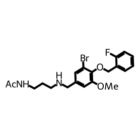 COc1cc(CNCCCNC(C)=O)cc(Br)c1OCc1ccccc1F